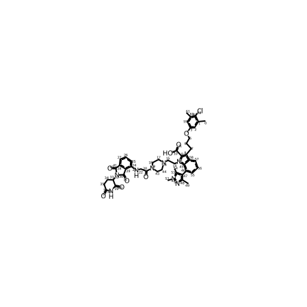 Cc1cc(OCCCc2c(C(=O)O)n(CCN3CCN(C(=O)CNc4cccc5c4C(=O)N(C4CCC(=O)NC4=O)C5=O)CC3)c3c(-c4c(C)nn(C)c4C)cccc23)cc(C)c1Cl